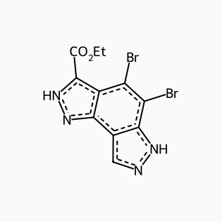 CCOC(=O)c1[nH]nc2c1c(Br)c(Br)c1[nH]ncc12